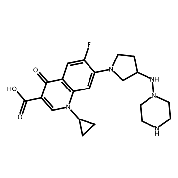 O=C(O)c1cn(C2CC2)c2cc(N3CCC(NN4CCNCC4)C3)c(F)cc2c1=O